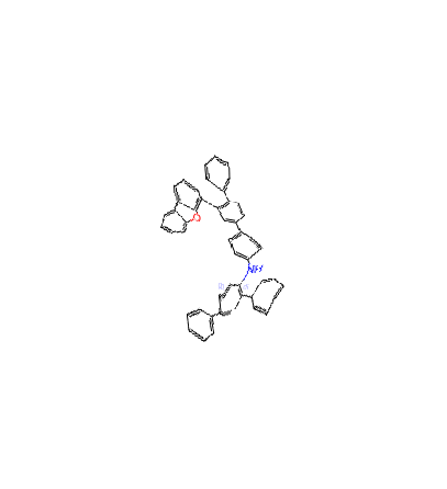 C=C(/C=C\C(Nc1ccc(-c2ccc(-c3ccccc3)c(-c3cccc4c3oc3ccccc34)c2)cc1)=C(/C)C1C=CC=CC=C1)c1ccccc1